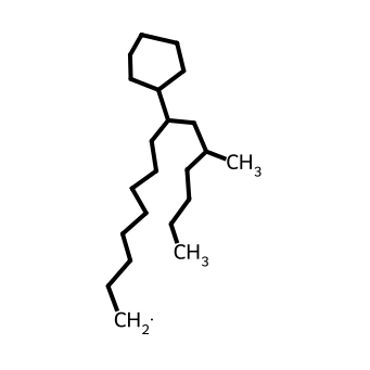 [CH2]CCCCCCCC(CC(C)CCCC)C1CCCCC1